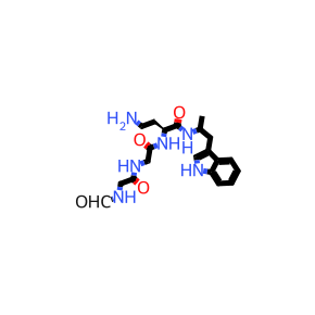 CC(Cc1c[nH]c2ccccc12)NC(=O)[C@H](CCN)NC(=O)CNC(=O)CNC=O